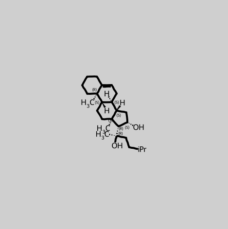 CC(C)CC[C@@](C)(O)[C@H]1[C@@H](O)C[C@H]2[C@@H]3CC=C4CCCC[C@]4(C)[C@H]3CC[C@@]21C